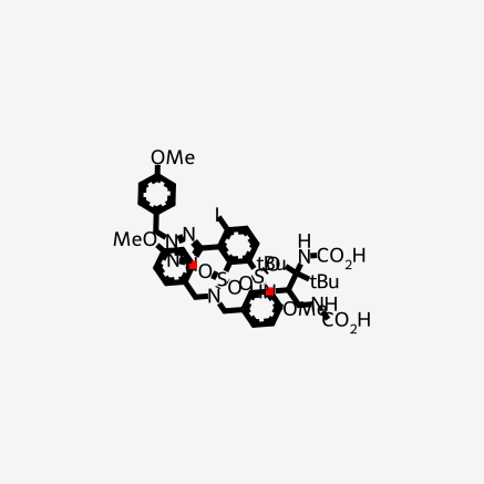 COc1ccc(CN(Cc2ccc(OC)cc2)S(=O)(=O)c2c(S(=O)(=O)NC(CNC(=O)O)C(NC(=O)O)(C(C)(C)C)C(C)(C)C)ccc(I)c2-c2nnn(Cc3ccc(OC)cc3)n2)cc1